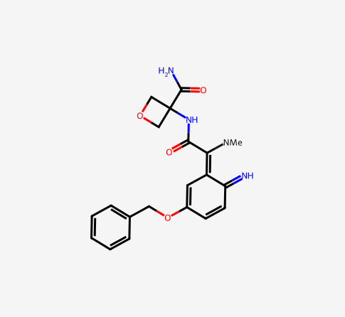 CN/C(C(=O)NC1(C(N)=O)COC1)=C1/C=C(OCc2ccccc2)C=CC1=N